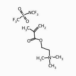 C=C(C)C(=O)OCC[N+](C)(C)C.O=S(=O)(NC(F)(F)F)C(F)(F)F